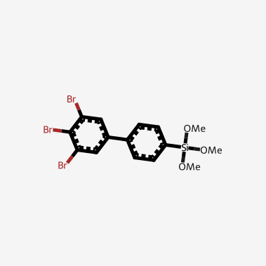 CO[Si](OC)(OC)c1ccc(-c2cc(Br)c(Br)c(Br)c2)cc1